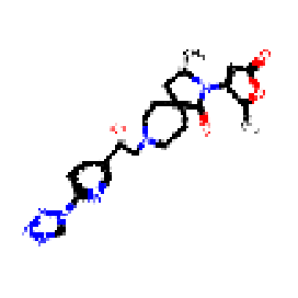 CC1OC(=O)C=C1N1C(=O)C2(CCN(C[C@@H](O)c3ccc(-n4cnnn4)nc3)CC2)C[C@@H]1C